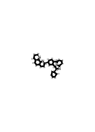 c1ccc(-c2nc3cccc4c5ccc(-c6ccc7ccc8cccnc8c7n6)cc5c2n34)cc1